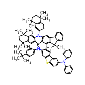 CC(C)(C)c1ccc(N2B3c4cc5c(cc4N(c4ccc6c(c4)C(C)(C)CCC6(C)C)c4cc6c(c(c43)-c3cc4c(cc32)sc2ccc(N(c3ccccc3)c3ccccc3)cc24)C(C)(C)c2ccccc2-6)C(C)(C)CCC5(C)C)cc1